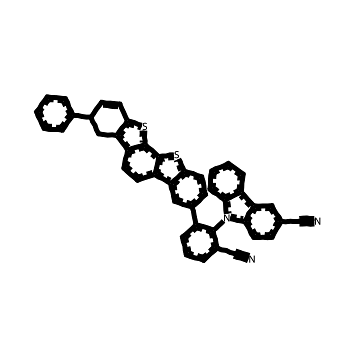 N#Cc1ccc2c(c1)c1ccccc1n2-c1c(C#N)cccc1-c1ccc2sc3c(ccc4c5c(sc43)C=CC(c3ccccc3)C5)c2c1